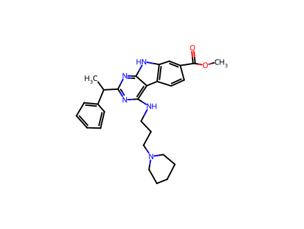 COC(=O)c1ccc2c(c1)[nH]c1nc(C(C)c3ccccc3)nc(NCCCN3CCCCC3)c12